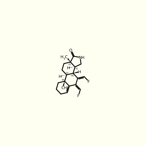 C[C@]12CCCC=C1C(=CF)C(=CF)[C@@H]1[C@@H]2CC[C@]2(C)C(=O)NC[C@@H]12